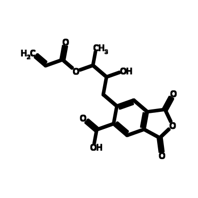 C=CC(=O)OC(C)C(O)Cc1cc2c(cc1C(=O)O)C(=O)OC2=O